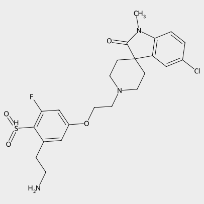 CN1C(=O)C2(CCN(CCOc3cc(F)c([SH](=O)=O)c(CCN)c3)CC2)c2cc(Cl)ccc21